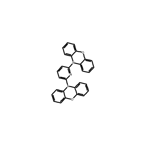 c1cc(N2c3ccccc3Oc3ccccc32)nc(N2c3ccccc3Oc3ccccc32)c1